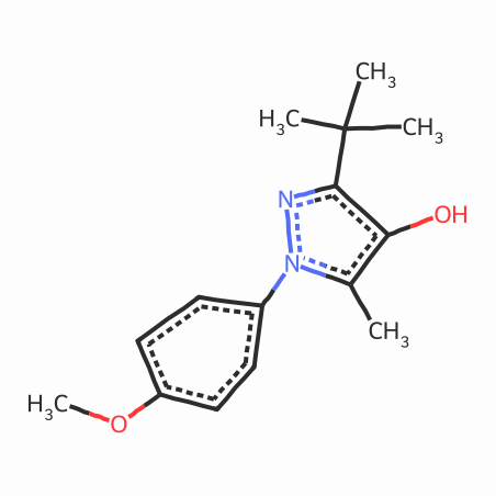 COc1ccc(-n2nc(C(C)(C)C)c(O)c2C)cc1